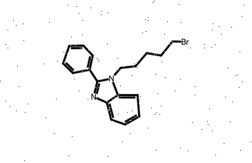 BrCCCCCn1c(-c2ccccc2)nc2ccccc21